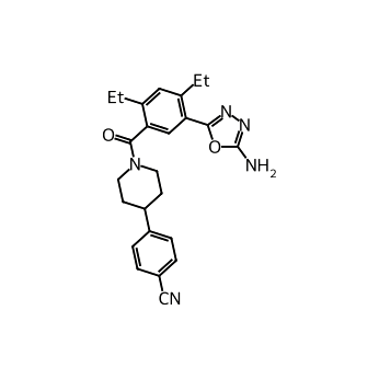 CCc1cc(CC)c(-c2nnc(N)o2)cc1C(=O)N1CCC(c2ccc(C#N)cc2)CC1